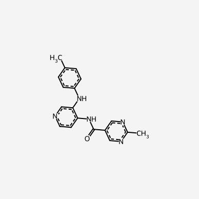 Cc1ccc(Nc2cnccc2NC(=O)c2cnc(C)nc2)cc1